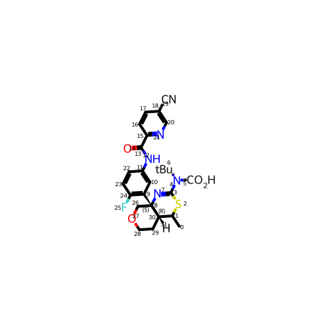 CC1SC(N(C(=O)O)C(C)(C)C)=N[C@@]2(c3cc(NC(=O)c4ccc(C#N)cn4)ccc3F)COCC[C@@H]12